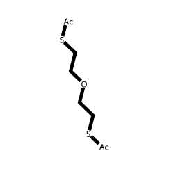 CC(=O)SCCOCCSC(C)=O